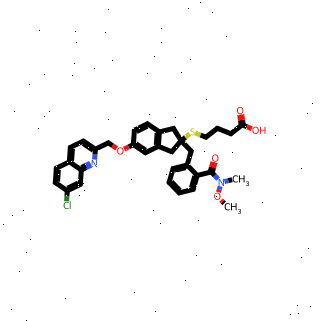 CON(C)C(=O)c1ccccc1CC1(SCCCC(=O)O)Cc2ccc(OCc3ccc4ccc(Cl)cc4n3)cc2C1